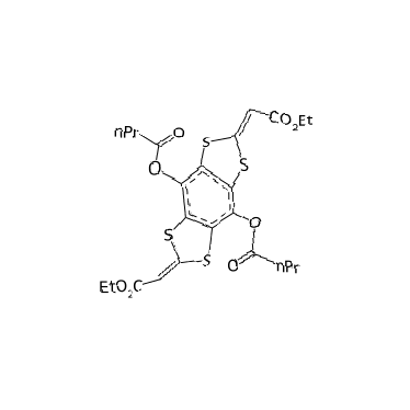 CCCC(=O)Oc1c2c(c(OC(=O)CCC)c3c1SC(=CC(=O)OCC)S3)SC(=CC(=O)OCC)S2